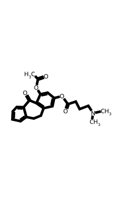 CC(=O)Oc1cc(OC(=O)CCCN(C)C)cc2c1C(=O)c1ccccc1CC2